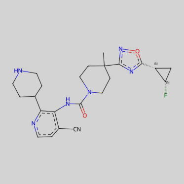 CC1(c2noc([C@@H]3C[C@@H]3F)n2)CCN(C(=O)Nc2c(C#N)ccnc2C2CCNCC2)CC1